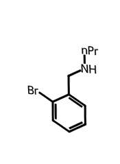 CCCNCc1ccccc1Br